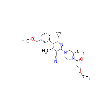 COCCC(=O)N1CCN(c2nc(C3CC3)c(-c3cccc(COC)c3)c(C)c2C#N)CC1C